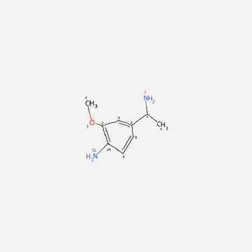 COc1cc(C(C)N)ccc1N